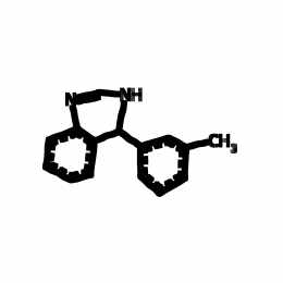 Cc1cccc(C2NC=Nc3ccccc32)c1